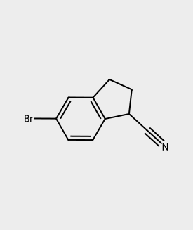 N#CC1CCc2cc(Br)ccc21